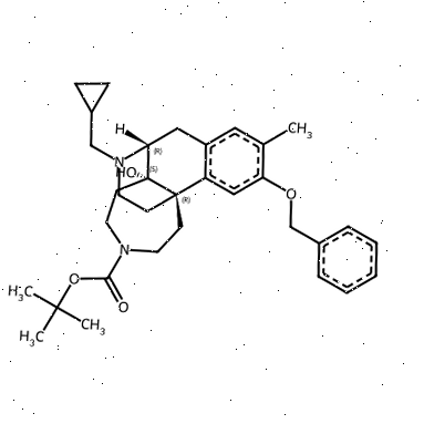 Cc1cc2c(cc1OCc1ccccc1)[C@@]13CCN(C(=O)OC(C)(C)C)CC[C@@]1(O)[C@@H](C2)N(CC1CC1)CC3